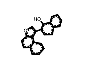 Oc1c(-c2coc3ccc4ccccc4c23)ccc2ccccc12